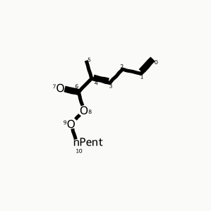 C=CCC=C(C)C(=O)OOCCCCC